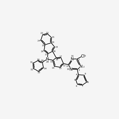 Clc1nc(-c2ccccc2)nc(-c2ccc3c(c2)c2cc4ccccc4cc2n3-c2ccccc2)n1